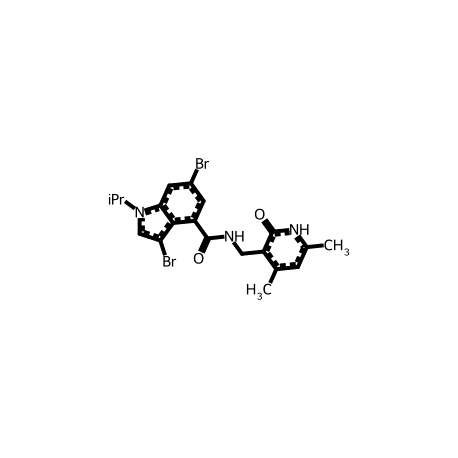 Cc1cc(C)c(CNC(=O)c2cc(Br)cc3c2c(Br)cn3C(C)C)c(=O)[nH]1